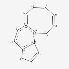 [CH]1C=Cc2c1ccc1/c2=C\C=C/C=C\C=1